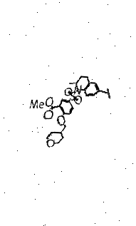 COC(=O)c1cc(S(=O)(=O)N2c3ccc(I)cc3CC[C@@H]2C)ccc1OCC1CCOCC1